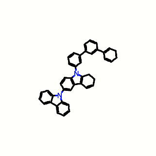 C1=CC(c2cccc(-c3cccc(-n4c5c(c6cc(-n7c8ccccc8c8ccccc87)ccc64)C=CCC5)c3)c2)=CCC1